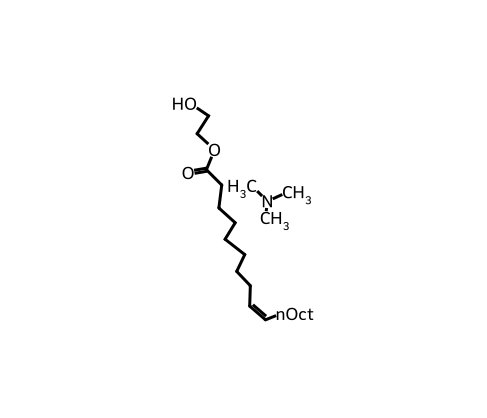 CCCCCCCC/C=C\CCCCCCCC(=O)OCCO.CN(C)C